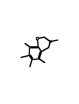 Cc1c(C)c(C)c2c(c1C)CN(C)CO2